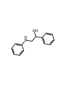 OC(CNc1ccccc1)c1ccccc1